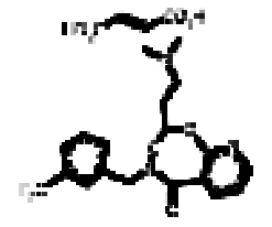 CN(C)CCC1CN(Cc2cccc(C(F)(F)F)c2)C(=O)c2cccnc2O1.O=C(O)C=CC(=O)O